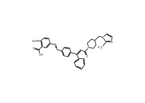 Cc1nccn1CC1CCN(C(=O)/C=C(\c2ccccc2)c2ccc(N=Nc3ccc(O)c(C(=O)O)c3)cc2)CC1